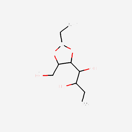 COCC(O)C(O)C1OB(CNC(C)=O)OC1CO